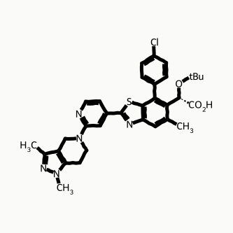 Cc1cc2nc(-c3ccnc(N4CCc5c(c(C)nn5C)C4)c3)sc2c(-c2ccc(Cl)cc2)c1[C@H](OC(C)(C)C)C(=O)O